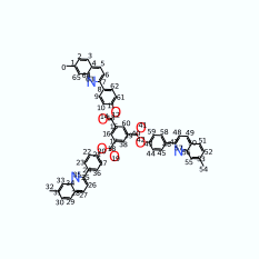 Cc1ccc2ccc(-c3ccc(OC(=O)c4cc(C(=O)Oc5ccc(-c6ccc7ccc(C)cc7n6)cc5)cc(C(=O)Oc5ccc(-c6ccc7ccc(C)cc7n6)cc5)c4)cc3)nc2c1